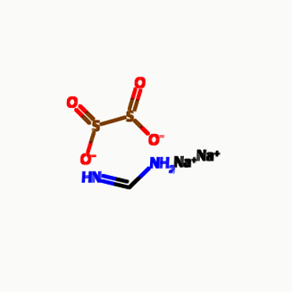 N=CN.O=S([O-])S(=O)[O-].[Na+].[Na+]